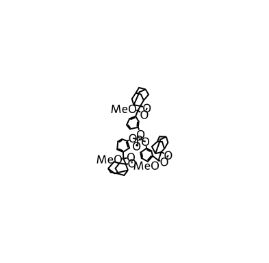 COC1(c2cccc(OP(=O)(Oc3cccc(C4(OC)OOC45C4CC6CC(C4)CC5C6)c3)Oc3cccc(C4(OC)OOC45C4CC6CC(C4)CC5C6)c3)c2)OOC12C1CC3CC(C1)CC2C3